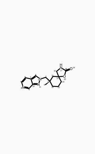 C[C@]1(Cn2cc3ccncc3n2)CCCC2(CNC(=O)O2)C1